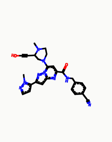 CN1CCN(c2cc(C(=O)NCc3ccc(C#N)cc3)nc3cc(-c4ccnn4C)nn23)CC1C#CO